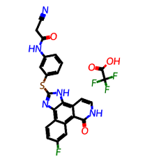 N#CCC(=O)Nc1cccc(Sc2nc3c4ccc(F)cc4c4c(=O)[nH]ccc4c3[nH]2)c1.O=C(O)C(F)(F)F